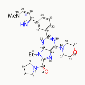 CCn1c(C(=O)N2CCCC2)nc2c(N3CCOCC3)nc(-c3cccc(C(=N)/C=C\NC)c3)nc21